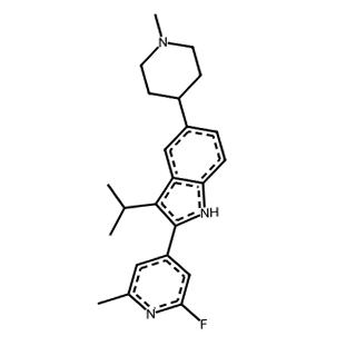 Cc1cc(-c2[nH]c3ccc(C4CCN(C)CC4)cc3c2C(C)C)cc(F)n1